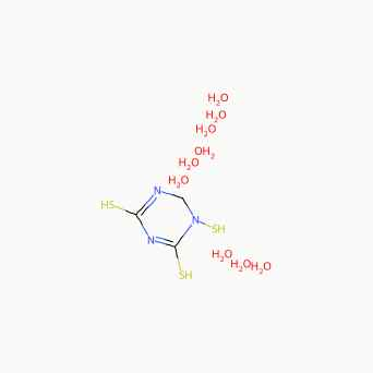 O.O.O.O.O.O.O.O.O.SC1=NCN(S)C(S)=N1